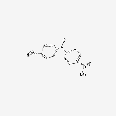 N#[N+]c1ccc(C(=O)c2ccc([N+](=O)O)cc2)cc1